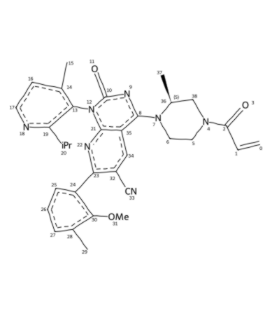 C=CC(=O)N1CCN(c2nc(=O)n(-c3c(C)ccnc3C(C)C)c3nc(-c4cccc(C)c4OC)c(C#N)cc23)[C@@H](C)C1